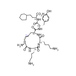 NCCCC[C@@H]1NC(=O)[C@H](CCCCN)NC(=O)[C@@H](N)C/C=C/C[C@@H](C(=O)N[C@@H](Cc2ccc(O)cc2)C(=O)N[C@@H](CCC2CCCCC2)C(=O)O)NC1=O